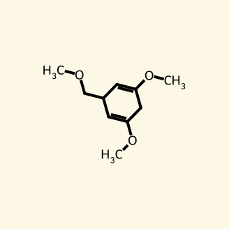 COCC1C=C(OC)CC(OC)=C1